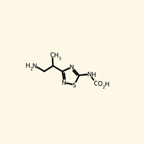 CC(CN)c1nsc(NC(=O)O)n1